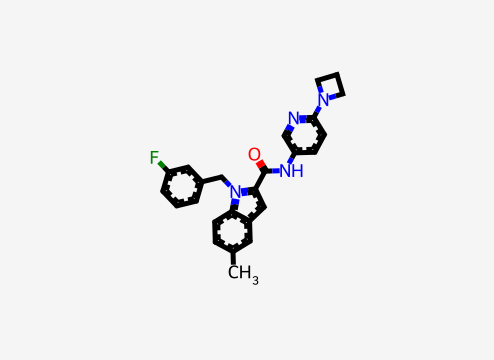 Cc1ccc2c(c1)cc(C(=O)Nc1ccc(N3CCC3)nc1)n2Cc1cccc(F)c1